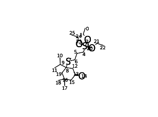 CCO[Si](CCCSC1(C(C)C)CC(=O)CC(C)(C)C1)(OCC)OCC